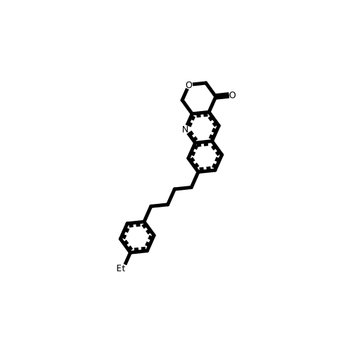 CCc1ccc(CCCCc2ccc3cc4c(nc3c2)COCC4=O)cc1